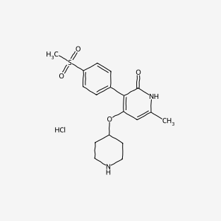 Cc1cc(OC2CCNCC2)c(-c2ccc(S(C)(=O)=O)cc2)c(=O)[nH]1.Cl